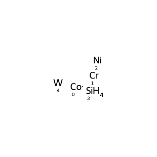 [Co].[Cr].[Ni].[SiH4].[W]